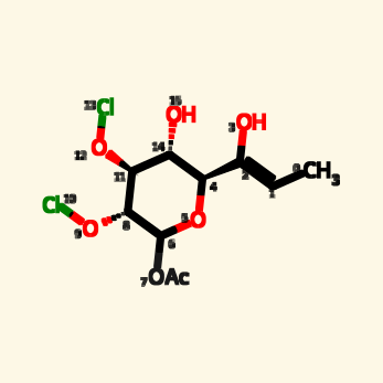 CC=C(O)[C@H]1OC(OC(C)=O)[C@H](OCl)[C@@H](OCl)[C@@H]1O